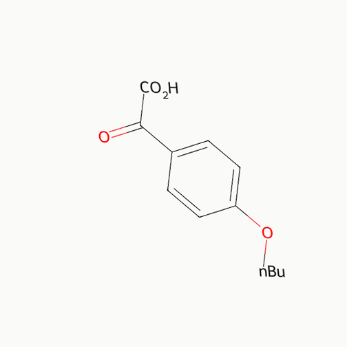 CCCCOc1ccc(C(=O)C(=O)O)cc1